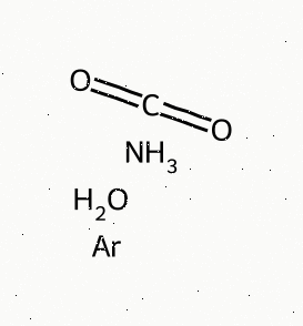 N.O.O=C=O.[Ar]